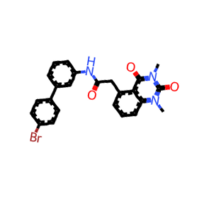 Cn1c(=O)c2c(CC(=O)Nc3cccc(-c4ccc(Br)cc4)c3)cccc2n(C)c1=O